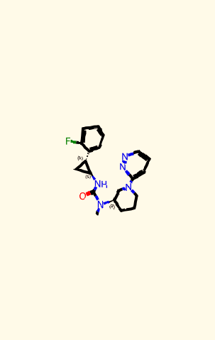 CN(C(=O)N[C@H]1C[C@@H]1c1ccccc1F)[C@@H]1CCCN(c2cccnn2)C1